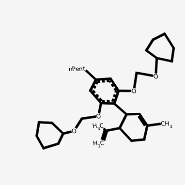 C=C(C)C1CCC(C)=CC1c1c(OCOC2CCCCC2)cc(CCCCC)cc1OCOC1CCCCC1